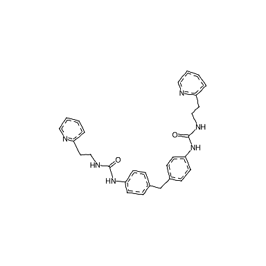 O=C(NCCc1ccccn1)Nc1ccc(Cc2ccc(NC(=O)NCCc3ccccn3)cc2)cc1